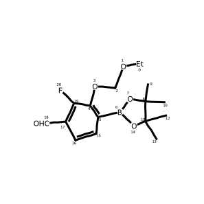 CCOCOc1c(B2OC(C)(C)C(C)(C)O2)ccc(C=O)c1F